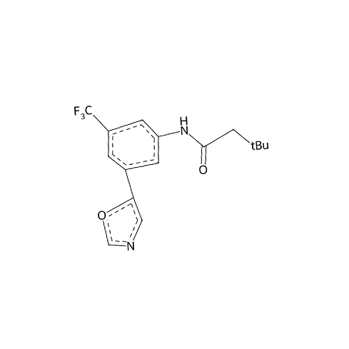 CC(C)(C)CC(=O)Nc1cc(-c2cnco2)cc(C(F)(F)F)c1